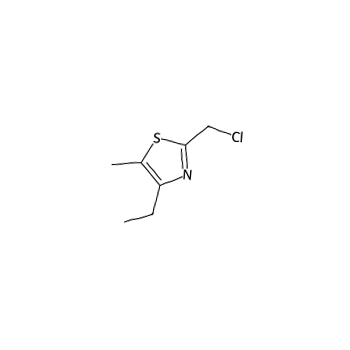 CCc1nc(CCl)sc1C